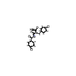 O=C(/N=c1\s[nH]c(=O)n1Cc1ccc(Cl)cc1)c1ccc(Cl)cc1